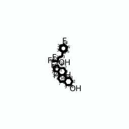 C[C@]12CC[C@H]3[C@@H](CC=C4C[C@@H](O)CC[C@@]43C)[C@@H]1CC[C@@H]2C(O)(CCc1ccc(F)cc1)C(F)(F)F